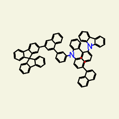 c1cc(-c2cc(-c3ccc4c(c3)C3(c5ccccc5-c5ccccc53)c3ccccc3-4)cc3ccccc23)cc(N(c2ccc(-c3cccc4ccccc34)cc2)c2ccccc2-c2ccccc2-n2c3ccccc3c3ccccc32)c1